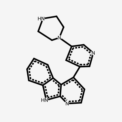 c1ccc2c(c1)[nH]c1nccc(-c3cncc(N4CCNCC4)c3)c12